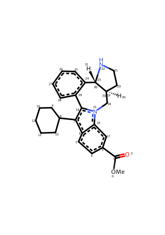 COC(=O)c1ccc2c(C3CCCCC3)c3n(c2c1)C[C@@H]1CCN[C@H]1c1ccccc1-3